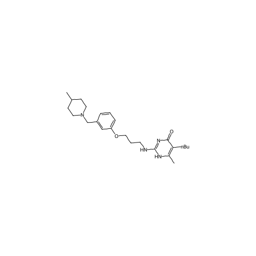 CCCCc1c(C)[nH]c(NCCCOc2cccc(CN3CCC(C)CC3)c2)nc1=O